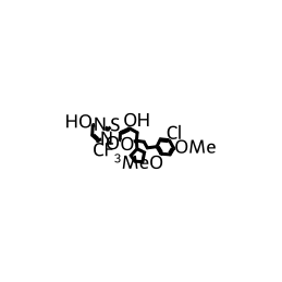 COc1cc(OC)c(CCC2(C3CCCC3)CC(O)=C(Sc3nc(O)cc(C(F)(F)F)n3)C(=O)O2)cc1Cl